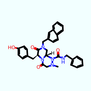 CN1CC(=O)N2[C@@H](Cc3ccc(O)cc3)C(=O)N(Cc3ccc4ccccc4c3)C[C@@H]2N1C(=O)NCc1ccccc1